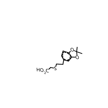 CC1(C)Oc2ccc(CCSCC(=O)O)cc2O1